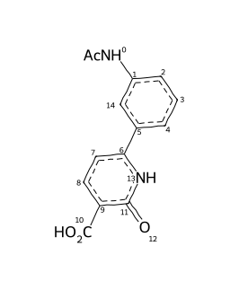 CC(=O)Nc1cccc(-c2ccc(C(=O)O)c(=O)[nH]2)c1